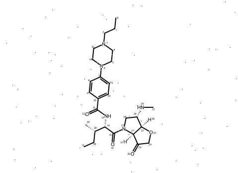 CCCN1CCN(c2ccc(C(=O)N[C@H](C(=O)N3C[C@H](NC)[C@H]4OCC(=O)[C@H]43)[C@@H](C)CC)cc2)CC1